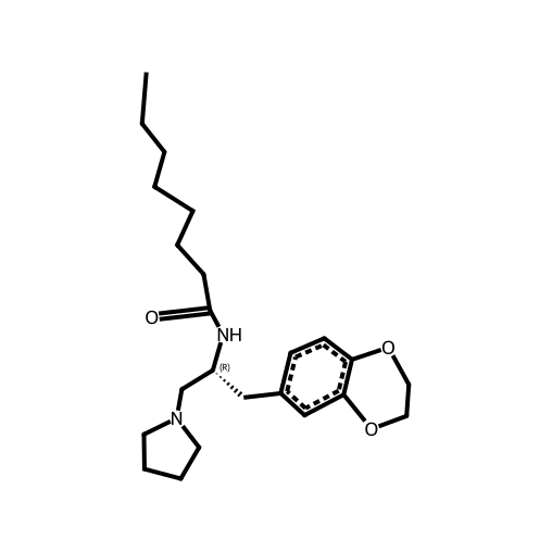 CCCCCCCC(=O)N[C@H](Cc1ccc2c(c1)OCCO2)CN1CCCC1